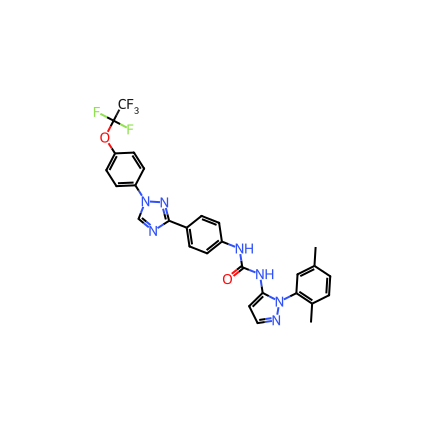 Cc1ccc(C)c(-n2nccc2NC(=O)Nc2ccc(-c3ncn(-c4ccc(OC(F)(F)C(F)(F)F)cc4)n3)cc2)c1